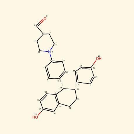 O=CC1CCN(c2ccc([C@H]3c4ccc(O)cc4CC[C@H]3c3ccc(O)cc3)cc2)CC1